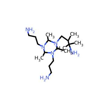 CC1N(CCCN)C(C)N(CC(C)C(C)(C)N)C(C)N1CCCN